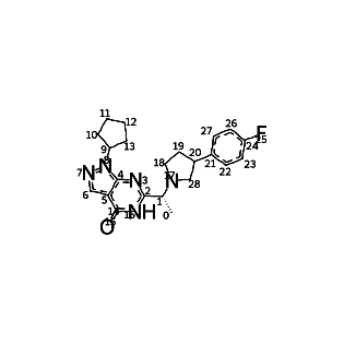 C[C@H](c1nc2c(cnn2C2CCCC2)c(=O)[nH]1)N1CCC(c2ccc(F)cc2)C1